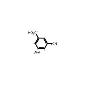 N#Cc1cccc(C(=O)O)c1.[NaH]